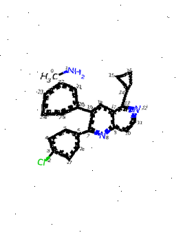 CN.Clc1ccc(-c2nc3ccnc(C4CC4)c3cc2-c2ccccc2)cc1